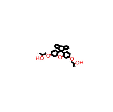 [CH2]C(O)[CH]Oc1ccc2c(c1)Oc1cc(O[CH]C([CH2])O)ccc1C21c2ccccc2-c2ccccc21